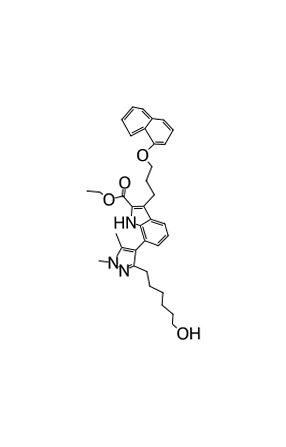 CCOC(=O)c1[nH]c2c(-c3c(CCCCCCO)nn(C)c3C)cccc2c1CCCOc1cccc2ccccc12